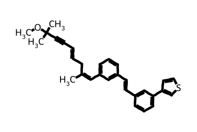 COC(C)(C)C#CC=CCC(C)=Cc1cccc(C=Cc2cccc(-c3ccsc3)c2)c1